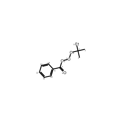 CCC(C)(C)OOOC(=O)c1ccccc1